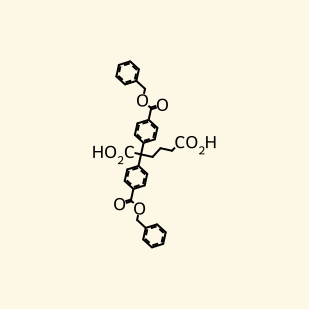 O=C(O)CCCC(C(=O)O)(c1ccc(C(=O)OCc2ccccc2)cc1)c1ccc(C(=O)OCc2ccccc2)cc1